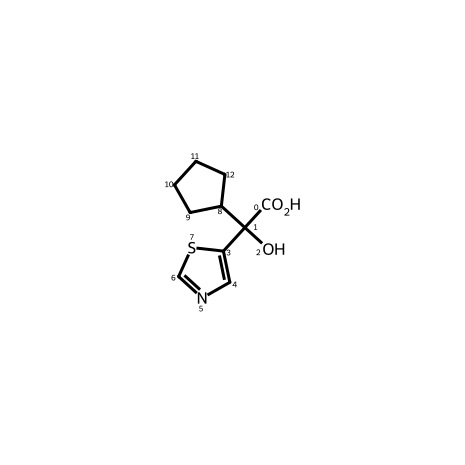 O=C(O)C(O)(c1cncs1)C1CCCC1